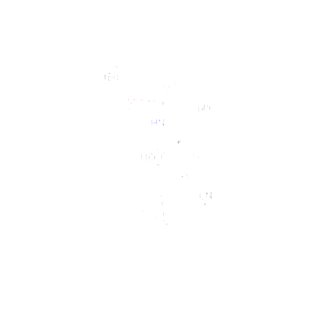 CCC[C@H](CC(C#N)(C(=O)O)C1CC1)NC(=O)OC(C)(C)C